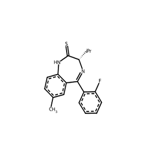 Cc1ccc2c(c1)C(c1ccccc1F)=N[C@@H](C(C)C)C(=S)N2